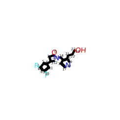 O=C1CC(c2cc(F)cc(F)c2)CN1Cc1ccncc1CCCO